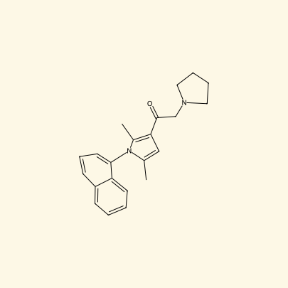 Cc1cc(C(=O)CN2CCCC2)c(C)n1-c1cccc2ccccc12